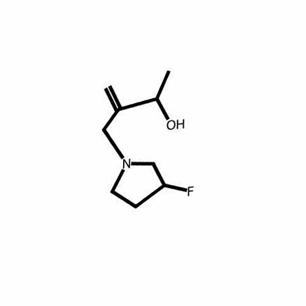 C=C(CN1CCC(F)C1)C(C)O